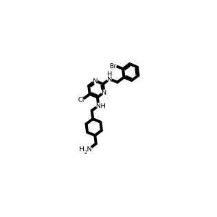 NCC1CCC(CNc2nc(NCc3ccccc3Br)ncc2Cl)CC1